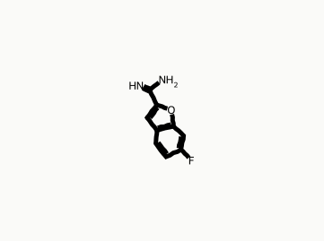 N=C(N)c1cc2ccc(F)cc2o1